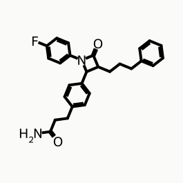 NC(=O)CCc1ccc(C2C(CCCc3ccccc3)C(=O)N2c2ccc(F)cc2)cc1